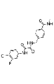 CNC(=O)c1ccc(CNC(=O)C(=O)Nc2ccc(Cl)c(F)c2)cc1